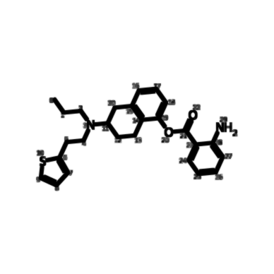 CCCN(CCc1cccs1)C1CCc2c(cccc2OC(=O)c2ccccc2N)C1